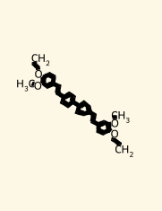 C=CCOc1ccc(C=Cc2ccc(-c3ccc(C=Cc4ccc(OCC=C)c(OC)c4)cc3)cc2)cc1OC